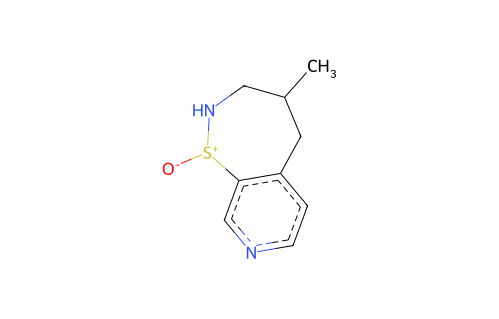 CC1CN[S+]([O-])c2cnccc2C1